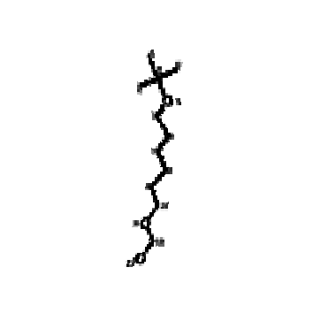 CC(C)(C)OCCCCCCOC[O]